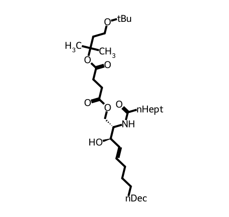 CCCCCCCCCCCCC/C=C/[C@@H](O)[C@H](COC(=O)CCC(=O)OC(C)(C)CCOC(C)(C)C)NC(=O)CCCCCCC